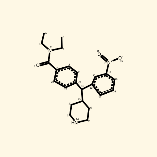 CCN(CC)C(=O)c1ccc(C(c2cccc([N+](=O)[O-])c2)C2CCNCC2)cc1